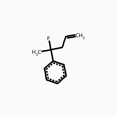 C=CCC(C)(F)c1ccccc1